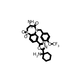 N[C@H]1CS(=O)(=O)c2ccc(-c3nnc(C4(N)CCCCC4)o3)cc2N(Cc2ccc(OC(F)(F)F)cc2)C1=O